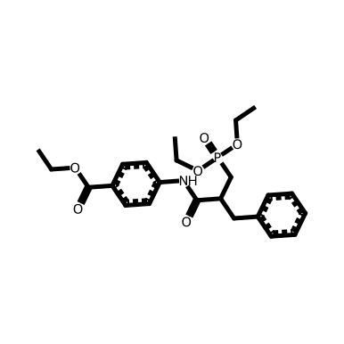 CCOC(=O)c1ccc(NC(=O)C(Cc2ccccc2)CP(=O)(OCC)OCC)cc1